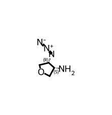 [N-]=[N+]=N[C@H]1COC[C@H]1N